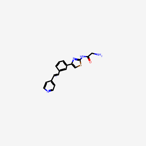 NCC(=O)Nc1nc(-c2cccc(/C=C/c3ccncc3)c2)cs1